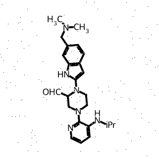 CC(C)Nc1cccnc1N1CCN(c2cc3ccc(CN(C)C)cc3[nH]2)C(C=O)C1